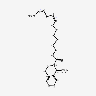 CCCCC/C=C\C/C=C\CCCCCCCC(=O)N1CCc2ccccc2C1C(=O)O